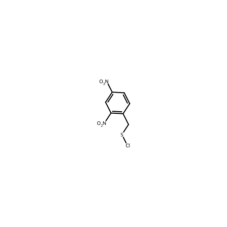 O=[N+]([O-])c1ccc(CSCl)c([N+](=O)[O-])c1